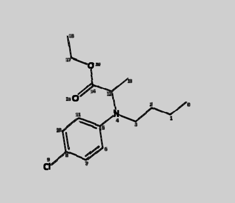 CCCCN(c1ccc(Cl)cc1)C(C)C(=O)OCC